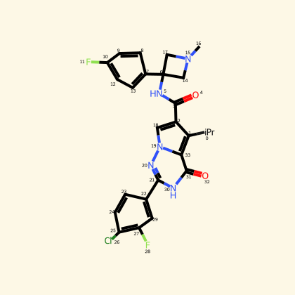 CC(C)c1c(C(=O)NC2(c3ccc(F)cc3)CN(C)C2)cn2nc(-c3ccc(Cl)c(F)c3)[nH]c(=O)c12